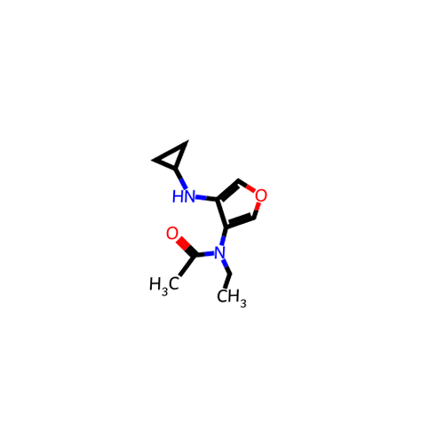 CCN(C(C)=O)c1cocc1NC1CC1